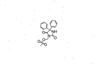 CS(=O)(=O)OCN1C(=O)NC(c2ccccc2)(c2ccccc2)C1=O